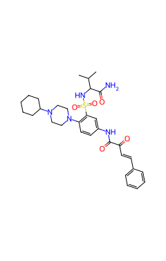 CC(C)C(NS(=O)(=O)c1cc(NC(=O)C(=O)C=Cc2ccccc2)ccc1N1CCN(C2CCCCC2)CC1)C(N)=O